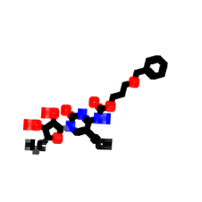 C#Cc1cn([C@@H]2O[C@H](C)[C@@H](O)[C@H]2O)c(=O)nc1NC(=O)OCCCOCc1ccccc1